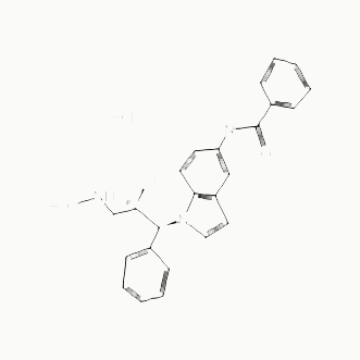 CNC[C@@H](O)[C@H](c1ccccc1)n1ccc2cc(NC(=O)c3ccccc3)ccc21.Cl